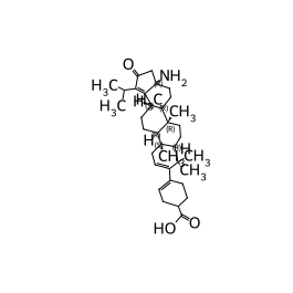 CC(C)C1=C2[C@H]3CC[C@@H]4[C@@]5(C)CC=C(C6=CCC(C(=O)O)CC6)C(C)(C)[C@@H]5CC[C@@]4(C)[C@]3(C)CC[C@@]2(N)CC1=O